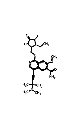 CC[C@@H]1[C@H](F)C(=O)N[C@@H]1COc1ncc(C#CC(C)(C)N(C)C)c2cc(C(N)=O)c(OC)cc12